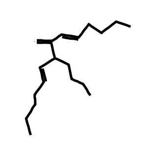 [CH]=C(C=CCCCC)C(C=CCCCC)CCCC